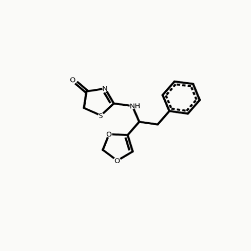 O=C1CSC(NC(Cc2ccccc2)C2=COCO2)=N1